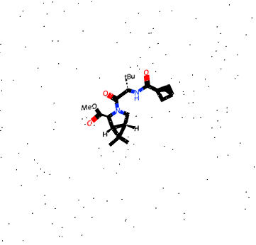 COC(=O)[C@@H]1[C@@H]2[C@H](CN1C(=O)[C@@H](NC(=O)C13CC(C1)C3)C(C)(C)C)C2(C)C